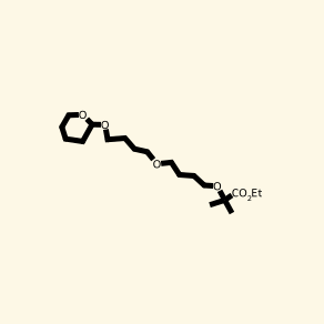 CCOC(=O)C(C)(C)OCCCCOCCCCOC1CCCCO1